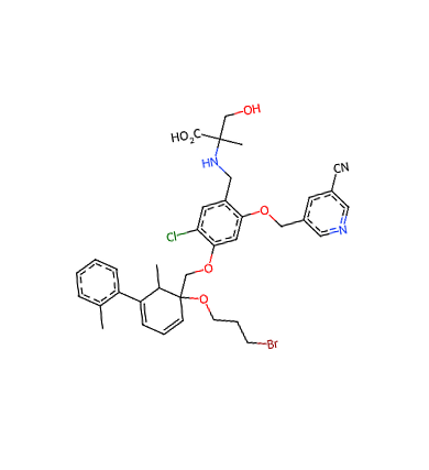 Cc1ccccc1C1=CC=CC(COc2cc(OCc3cncc(C#N)c3)c(CNC(C)(CO)C(=O)O)cc2Cl)(OCCCBr)C1C